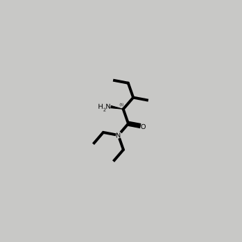 CCC(C)[C@H](N)C(=O)N(CC)CC